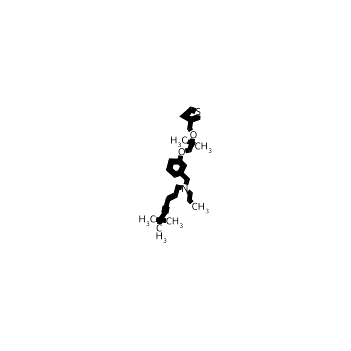 CCCN(C/C=C/C#CC(C)(C)C)Cc1cccc(OCC(C)(C)OCc2ccsc2)c1